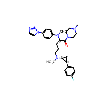 CN1CCN(C(=O)[C@@H](CCCN(C(=O)O)[C@@H]2C[C@H]2c2ccc(F)cc2)N(C=O)c2ccc(-n3ccnn3)cc2)CC1